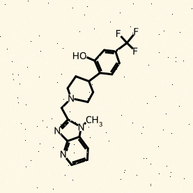 Cn1c(CN2CCC(c3ccc(C(F)(F)F)cc3O)CC2)nc2ncccc21